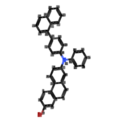 Brc1ccc2c(ccc3cc(N(c4ccccc4)c4ccc(-c5cccc6ccccc56)cc4)ccc32)c1